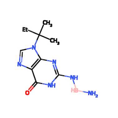 CCC(C)(C)n1cnc2c(=O)[nH]c(NBN)nc21